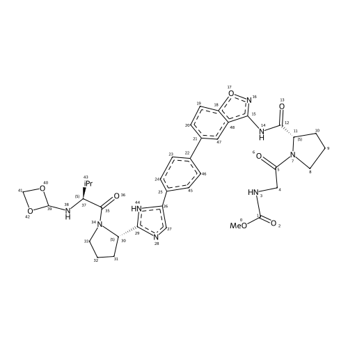 COC(=O)NCC(=O)N1CCC[C@H]1C(=O)Nc1noc2ccc(-c3ccc(-c4cnc([C@@H]5CCCN5C(=O)[C@@H](NC5OCO5)C(C)C)[nH]4)cc3)cc12